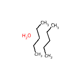 CCCCC.CCCCC.O